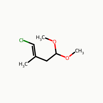 COC(CC(C)=CCl)OC